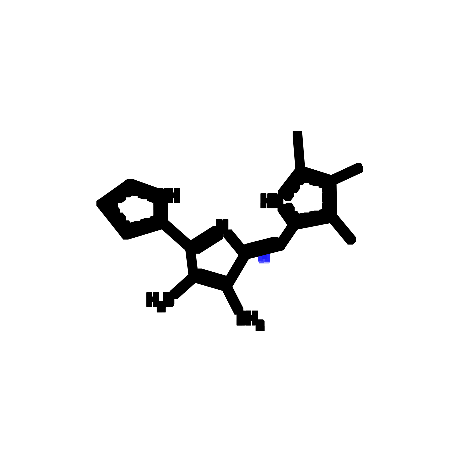 BC1=C(B)/C(=C/c2[nH]c(C)c(C)c2C)N=C1c1ccc[nH]1